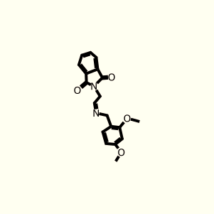 COc1ccc(C/N=C\CN2C(=O)c3ccccc3C2=O)c(OC)c1